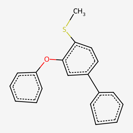 CSc1ccc(-c2ccccc2)cc1Oc1ccccc1